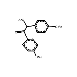 COc1ccc(C(=O)C(OC(C)=O)c2ccc(OC)cc2)cc1